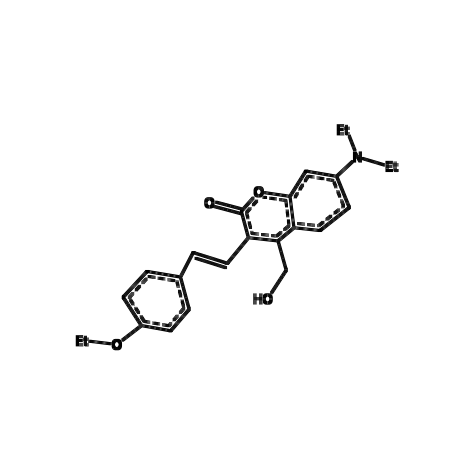 CCOc1ccc(/C=C/c2c(CO)c3ccc(N(CC)CC)cc3oc2=O)cc1